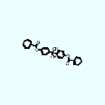 CC(C)(c1ccc(OC(=O)C2=CC=CCC=C2)cc1)c1ccc(OC(=O)C2=CCCC=C2)cc1